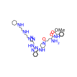 COC(=O)[C@@H](NC(=O)[C@@H](N)CCC(=O)N1CCC(Nc2nc(NCc3cn(CCCNCCCNC4CCCCC4)nn3)nc3ccccc23)CC1)c1ccccc1